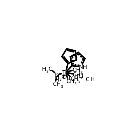 C[SiH](C)[Ti]([CH3])([CH3])([CH3])([CH3])([CH3])([CH3])([C]1=CC=CC1)[c]1ccc[nH]1.Cl.Cl